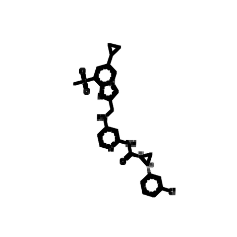 CS(=O)(=O)c1cc(C2CC2)cn2cc(CNc3ccnc(NC(=O)[C@H]4C[C@@H]4c4cccc(Cl)c4)c3)nc12